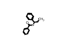 CCC([N]C(=O)c1ccccc1)c1ccccc1